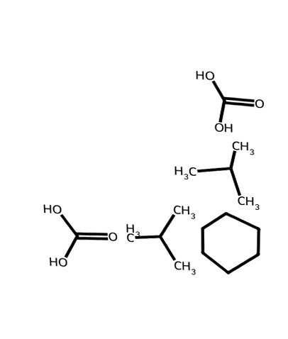 C1CCCCC1.CC(C)C.CC(C)C.O=C(O)O.O=C(O)O